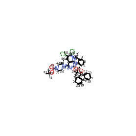 CC(C)c1cccc(CO[Si](c2ccccc2)(c2ccccc2)C(C)(C)C)c1-n1c(=O)nc(N2CCN(C(=O)OC(C)(C)C)C[C@@H]2C)c2cc(Cl)c(Cl)nc21